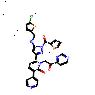 O=C(Cn1c(-c2cc(NCc3ccc(Cl)s3)n(C(=O)c3cccs3)n2)ccc(-c2ccncc2)c1=O)c1ccncn1